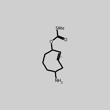 CSC(=O)OC1/C=C/CC(N)CCC1